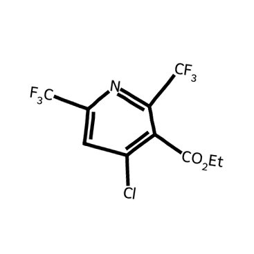 CCOC(=O)c1c(Cl)cc(C(F)(F)F)nc1C(F)(F)F